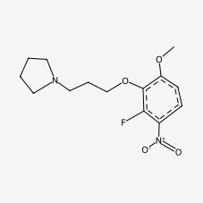 COc1ccc([N+](=O)[O-])c(F)c1OCCCN1CCCC1